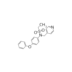 CCS(=O)(=O)N(Cc1ccncc1)c1ccc(Oc2ccccc2)cc1